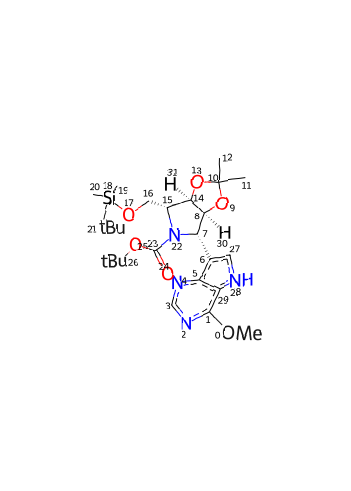 COc1ncnc2c([C@H]3[C@@H]4OC(C)(C)O[C@@H]4[C@@H](CO[Si](C)(C)C(C)(C)C)N3C(=O)OC(C)(C)C)c[nH]c12